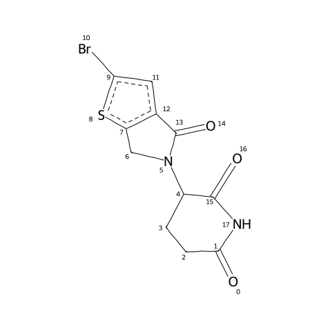 O=C1CCC(N2Cc3sc(Br)cc3C2=O)C(=O)N1